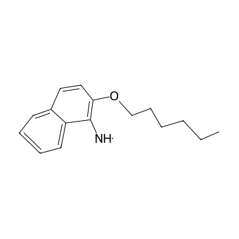 CCCCCCOc1ccc2ccccc2c1[NH]